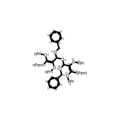 CCCCCC(OCCC)=C(OCCC)C(OCc1ccccc1)OC(OCc1ccccc1)C(OCCC)=C(CCCCC)OCCC